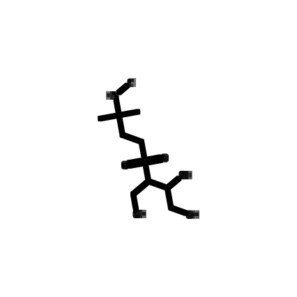 CC(C)(CCS(=O)(=O)C(CO)C(O)CO)NCl